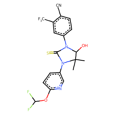 CC1(C)C(O)N(c2ccc(C#N)c(C(F)(F)F)c2)C(=S)N1c1ccc(OC(F)F)nc1